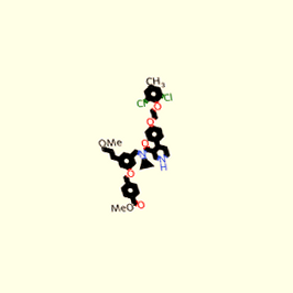 COCCCc1cc(CN(C(=O)C2CNCCC2c2ccc(OCCOc3c(Cl)cc(C)cc3Cl)cc2)C2CC2)cc(OCc2ccc(C(=O)OC)cc2)c1